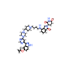 CC1(Oc2ccc3[nH]nc(-c4cc(N5CCN(CC6CCN(CCCCNc7cccc8c7CN(C7CCC(=O)NC7=O)C8=O)CC6)CC5)ncn4)c3c2)CC1